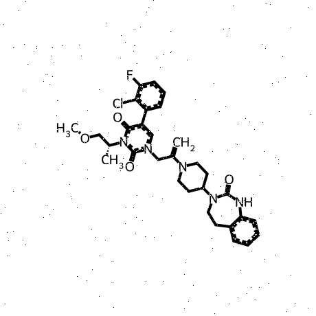 C=C(Cn1cc(-c2cccc(F)c2Cl)c(=O)n([C@H](C)COC)c1=O)N1CCC(N2CCc3ccccc3NC2=O)CC1